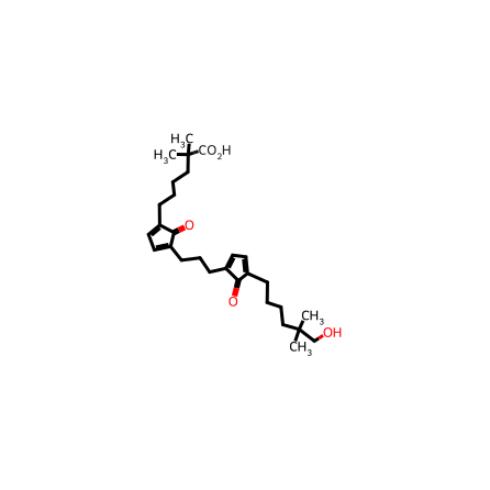 CC(C)(CO)CCCCC1=CC=C(CCCC2=CC=C(CCCCC(C)(C)C(=O)O)C2=O)C1=O